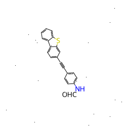 O=CNc1ccc(C#Cc2ccc3c(c2)sc2ccccc23)cc1